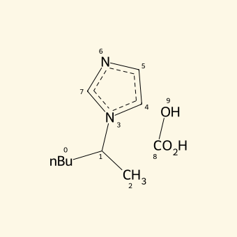 CCCCC(C)n1ccnc1.O=C(O)O